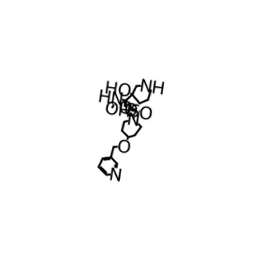 O=C(NO)C1(O)CNCCC1S(=O)(=O)N1CCC(OCc2cccnc2)CC1